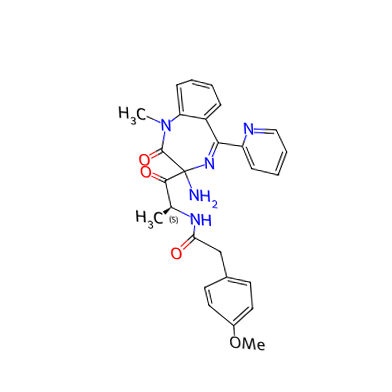 COc1ccc(CC(=O)N[C@@H](C)C(=O)C2(N)N=C(c3ccccn3)c3ccccc3N(C)C2=O)cc1